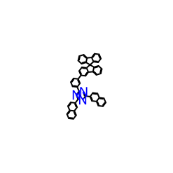 c1cc(-c2ccc3c(c2)-c2ccccc2C32c3ccccc3-c3ccccc32)cc(-c2nc(-c3ccc4ccccc4c3)nc(-c3ccc4ccccc4c3)n2)c1